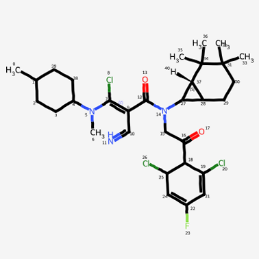 CC1CCC(N(C)/C(Cl)=C(\C=N)C(=O)N(CC(=O)C2C(Cl)=CC(F)=CC2Cl)C2C3CCC(C)(C)C(C)(C)[C@H]32)CC1